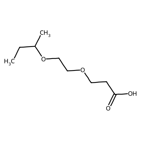 CCC(C)OCCOCCC(=O)O